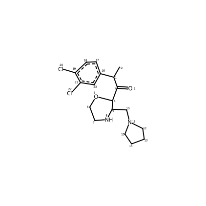 CC(C(=O)C1OCCNC1CN1CCCC1)c1ccc(Cl)c(Cl)c1